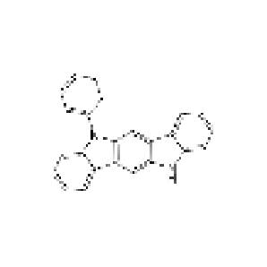 C1=CCCC(n2c3ccccc3c3cc4[nH]c5ccccc5c4cc32)=C1